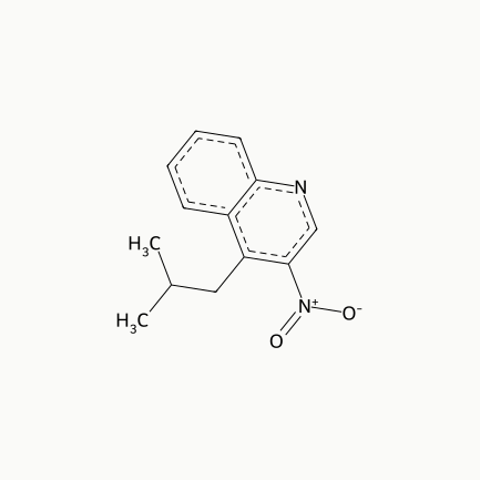 CC(C)Cc1c([N+](=O)[O-])cnc2ccccc12